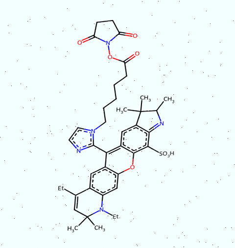 CCC1=CC(C)(C)N(CC)c2cc3c(cc21)C(c1nccn1CCCCCC(=O)ON1C(=O)CCC1=O)=c1cc2c(c(S(=O)(=O)O)c1O3)=NC(C)C2(C)C